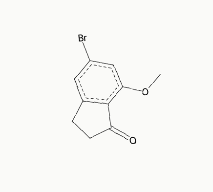 COc1cc(Br)cc2c1C(=O)CC2